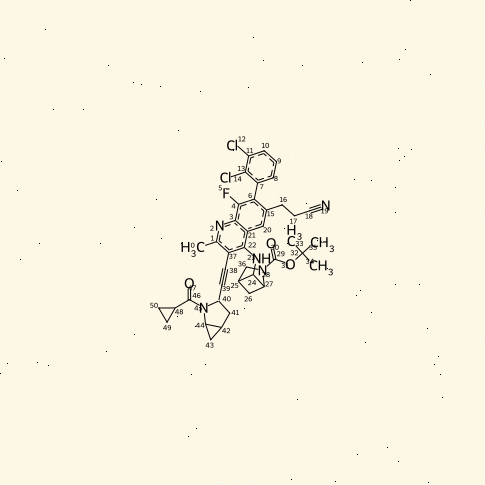 Cc1nc2c(F)c(-c3cccc(Cl)c3Cl)c(CCC#N)cc2c(NC2C3CC2N(C(=O)OC(C)(C)C)C3)c1C#CC1CC2CC2N1C(=O)C1CC1